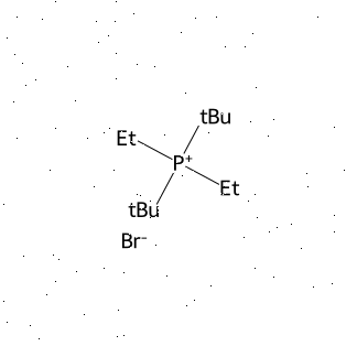 CC[P+](CC)(C(C)(C)C)C(C)(C)C.[Br-]